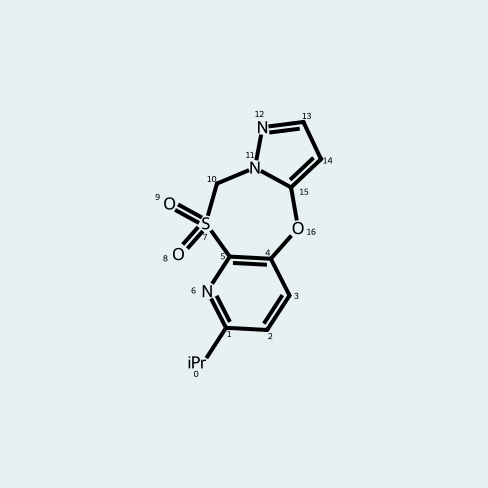 CC(C)c1ccc2c(n1)S(=O)(=O)Cn1nccc1O2